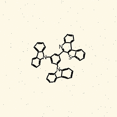 c1ccc2c(c1)nc(-c1cc(-n3c4ccccc4c4ccccc43)cc(-n3c4ccccc4c4ccccc43)c1)c1sc3ccccc3c12